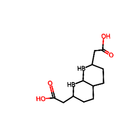 O=C(O)CC1BC2BC(CC(=O)O)CCC2CC1